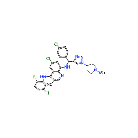 CC(C)(C)N1CCC(n2cc([C@@H](Nc3cc(Cl)cc4c(Nc5cc(Cl)ccc5F)c(C#N)cnc34)c3ccc(Cl)cc3)nn2)CC1